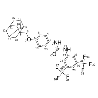 O=C(Nc1ccc(OCC23CC4CC(CC(C4)C2)C3)cc1)Nc1cc(C(F)(F)F)cc(C(F)(F)F)c1